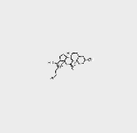 CC(C)CCC[C@@H](C)[C@H]1CC[C@H]2C3=C(C(=O)C[C@]12C)[C@@]1(C)CC[C@H](O)CC1CC3